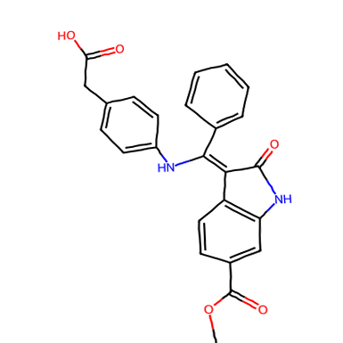 COC(=O)c1ccc2c(c1)NC(=O)C2=C(Nc1ccc(CC(=O)O)cc1)c1ccccc1